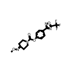 CON=C1CCN(C(=O)Oc2ccc(-c3noc(C(F)(F)F)n3)cc2)CC1